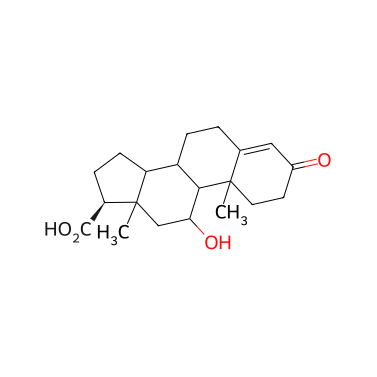 CC12CCC(=O)C=C1CCC1C2C(O)CC2(C)C1CC[C@@H]2C(=O)O